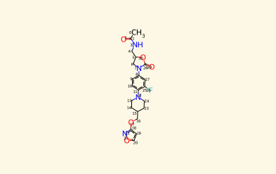 CC(=O)NCC1CN(c2ccc(N3CCC(COc4ccon4)CC3)c(F)c2)C(=O)O1